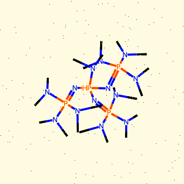 CN(C)P(=N[PH](N=P(N(C)C)(N(C)C)N(C)C)(N=P(N(C)C)(N(C)C)N(C)C)N(C)C)(N(C)C)N(C)C